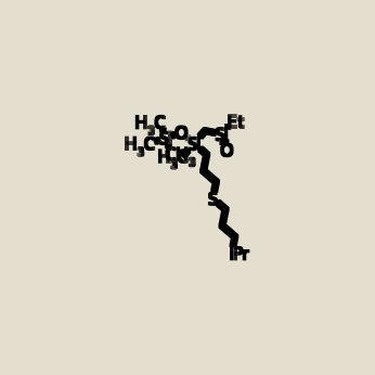 CC[Si](=O)C[Si](C)(CCCSCCCC(C)C)O[Si](C)(C)C